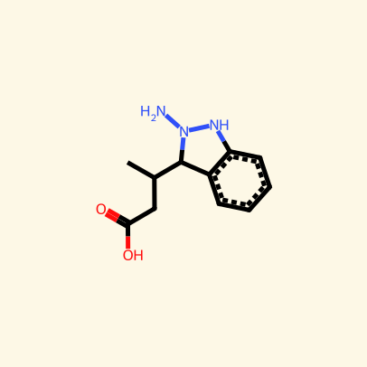 CC(CC(=O)O)C1c2ccccc2NN1N